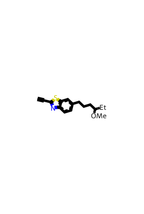 C#Cc1nc2ccc(CCCC(CC)OC)cc2s1